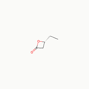 CC[C@@H]1CC(=O)O1